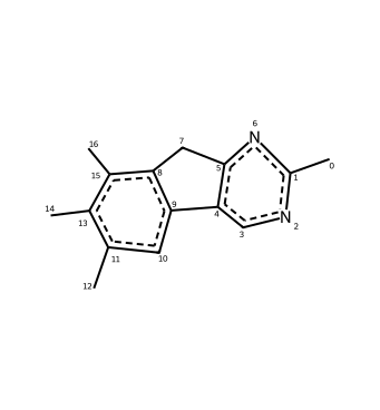 Cc1ncc2c(n1)Cc1c-2cc(C)c(C)c1C